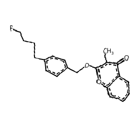 Cc1c(OCc2ccc(CCCCF)cc2)oc2ccccc2c1=O